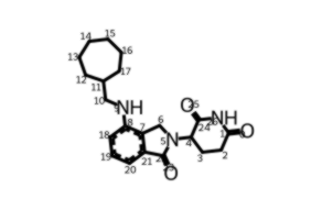 O=C1CCC(N2Cc3c(NCC4CCCCCC4)cccc3C2=O)C(=O)N1